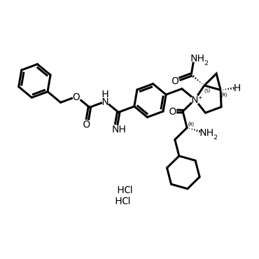 Cl.Cl.N=C(NC(=O)OCc1ccccc1)c1ccc(C[N+]2(C(=O)[C@H](N)CC3CCCCC3)CC[C@@H]3C[C@@]32C(N)=O)cc1